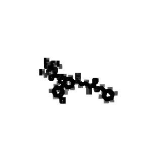 CC(C)(C)OC(=O)NC[C@]1(c2cccc(Cl)c2)CC[C@@H](NCCNC(=O)OCc2ccccc2)CC1